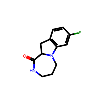 O=C1NCCCN2c3cc(F)ccc3CC12